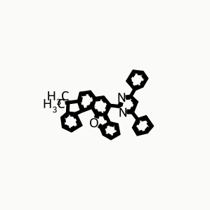 CC1(C)c2ccccc2-c2c1ccc1cc(-c3nc(-c4ccccc4)cc(-c4ccccc4)n3)c3c4ccccc4oc3c21